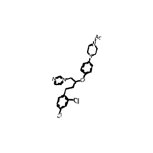 CC(=O)N1CCN(c2ccc(OC(CCc3ccc(Cl)cc3Cl)Cn3ccnc3)cc2)CC1